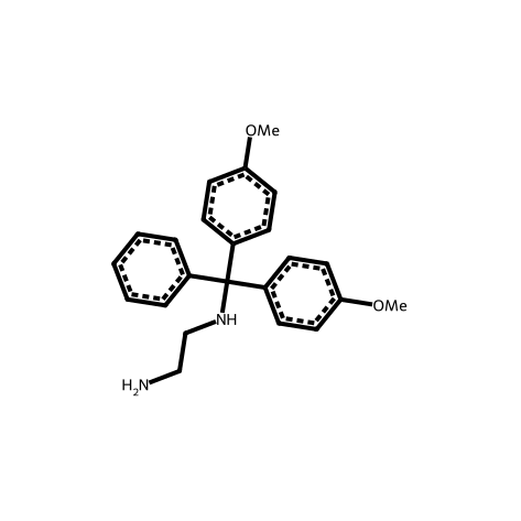 COc1ccc(C(NCCN)(c2ccccc2)c2ccc(OC)cc2)cc1